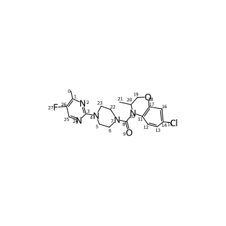 Cc1nc(N2CCN(C(=O)N3c4ccc(Cl)cc4OCC3C)CC2)ncc1F